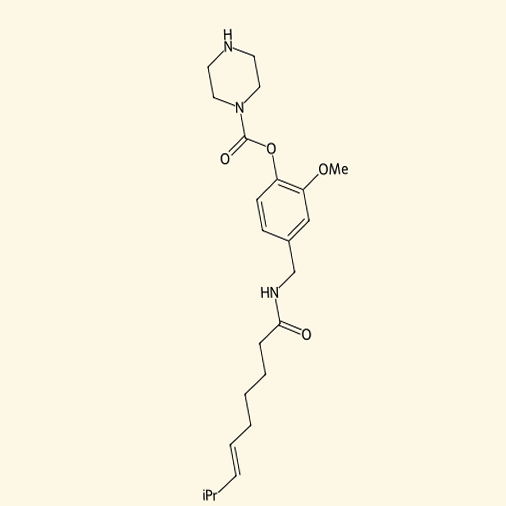 COc1cc(CNC(=O)CCCCC=CC(C)C)ccc1OC(=O)N1CCNCC1